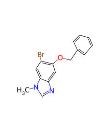 Cn1[c]nc2cc(OCc3ccccc3)c(Br)cc21